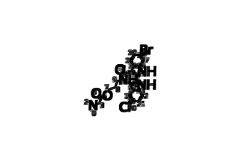 CN(C)CC(=O)OCCCNC(=O)c1c(-c2cc3cc(Cl)ccc3[nH]2)[nH]c2cc(Br)ccc12